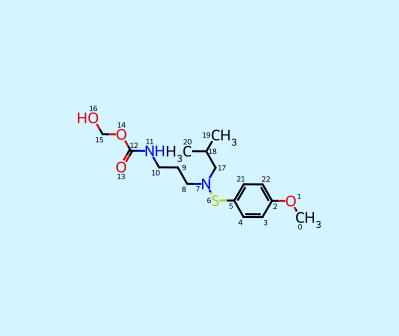 COc1ccc(SN(CCCNC(=O)OCO)CC(C)C)cc1